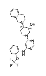 O[C@@H]1CN(c2cc(Nc3ccccc3OC(F)(F)F)ncn2)CC[C@H]1N1CCc2ccccc2C1